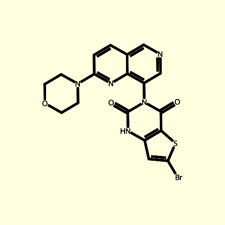 O=c1[nH]c2cc(Br)sc2c(=O)n1-c1cncc2ccc(N3CCOCC3)nc12